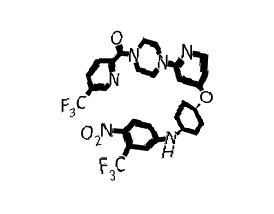 O=C(c1ccc(C(F)(F)F)cn1)N1CCN(c2cc(O[C@H]3CC[C@H](Nc4ccc([N+](=O)[O-])c(C(F)(F)F)c4)CC3)ccn2)CC1